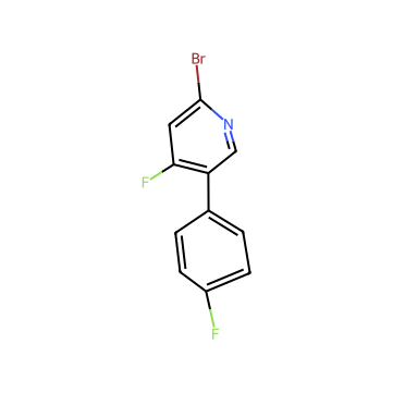 Fc1ccc(-c2cnc(Br)cc2F)cc1